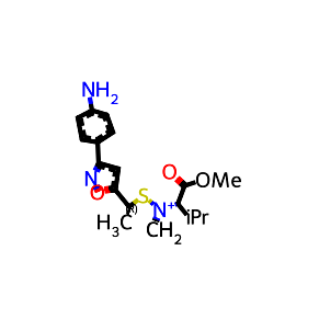 C=[N+](S[C@H](C)c1cc(-c2ccc(N)cc2)no1)C(C(=O)OC)C(C)C